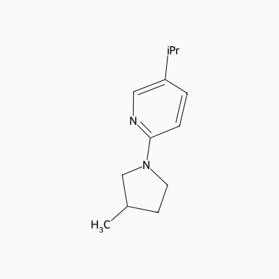 CC1CCN(c2ccc(C(C)C)cn2)C1